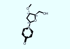 CO[C@H]1C[C@H](n2ccc(=O)cc2)O[C@@H]1CO